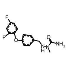 CN(NCc1ccc(Oc2ccc(F)cc2F)cc1)C(N)=O